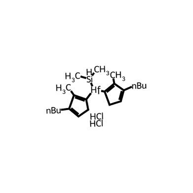 CCCCC1=CC[C]([Hf]([C]2=C(C)C(CCCC)=CC2)[SiH](C)C)=C1C.Cl.Cl